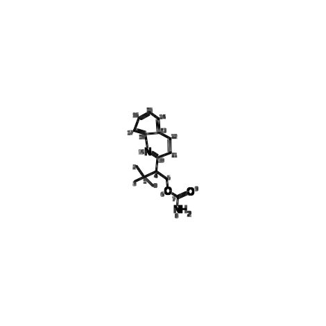 CC(C)(C)C(COC(N)=O)c1ccc2ccccc2n1